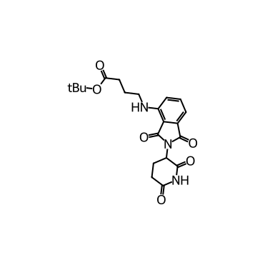 CC(C)(C)OC(=O)CCCNc1cccc2c1C(=O)N(C1CCC(=O)NC1=O)C2=O